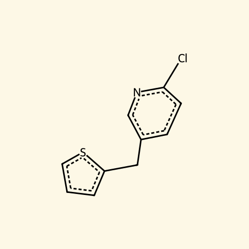 Clc1ccc(Cc2cccs2)cn1